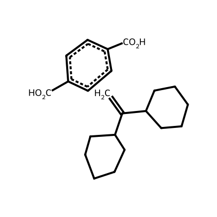 C=C(C1CCCCC1)C1CCCCC1.O=C(O)c1ccc(C(=O)O)cc1